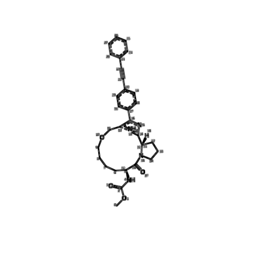 COC(=O)N[C@H]1CCCCOCc2[nH]c(nc2-c2ccc(C#Cc3ccccc3)cc2)[C@@H]2CCCN2C1=O